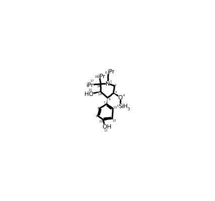 CC(C)N1C[C@@H](O[SiH3])[C@H](c2ccc(O)cc2)[C@@H](O)C1(C(C)C)C(C)C